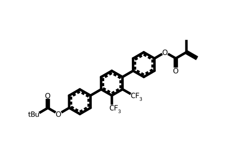 C=C(C)C(=O)Oc1ccc(-c2ccc(-c3ccc(OC(=O)C(C)(C)C)cc3)c(C(F)(F)F)c2C(F)(F)F)cc1